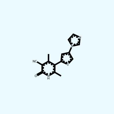 Cc1[nH]c(=O)c(C#N)c(C)c1-c1cc(-n2ccnc2)cs1